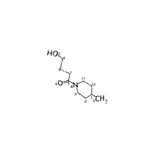 CC1CCN(C(=O)CCCO)CC1